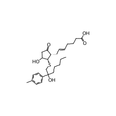 CCCCCC(O)(CS[C@H]1C(O)CC(=O)[C@@H]1CC=CCCCC(=O)O)c1ccc(C)cc1